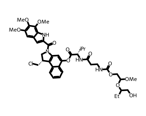 CCC(CO)OC(COC(=O)NCCC(=O)N[C@H](C(=O)Oc1cc2c(c3ccccc13)[C@H](CCl)CN2C(=O)c1cc2cc(OC)c(OC)c(OC)c2[nH]1)C(C)C)OC